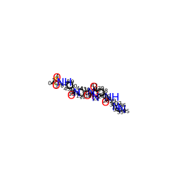 C=CS(=O)(=O)NCc1cccc(C(=O)N2CCC(O)(Cn3cnc4cc(NC(=O)CCN5CCN(C)CC5)ccc4c3=O)CC2)c1